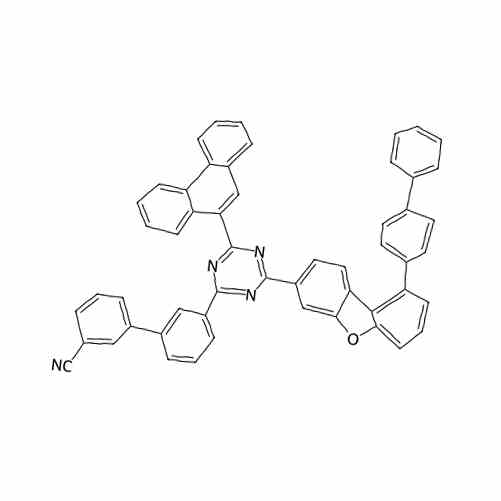 N#Cc1cccc(-c2cccc(-c3nc(-c4ccc5c(c4)oc4cccc(-c6ccc(-c7ccccc7)cc6)c45)nc(-c4cc5ccccc5c5ccccc45)n3)c2)c1